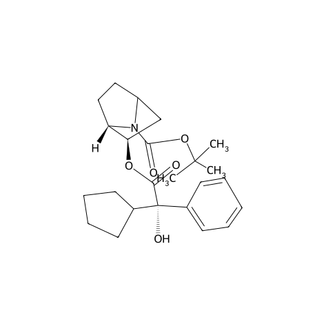 CC(C)(C)OC(=O)N1C2CC[C@H]1[C@H](OC(=O)[C@@](O)(c1ccccc1)C1CCCC1)C2